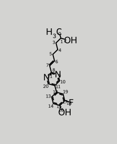 CC(O)CCCC=Cc1ncc(-c2ccc(O)c(F)c2)cn1